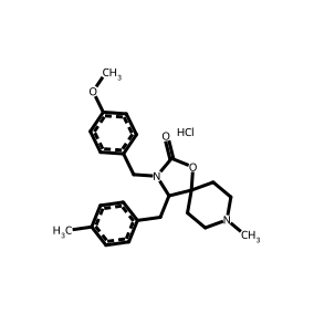 COc1ccc(CN2C(=O)OC3(CCN(C)CC3)C2Cc2ccc(C)cc2)cc1.Cl